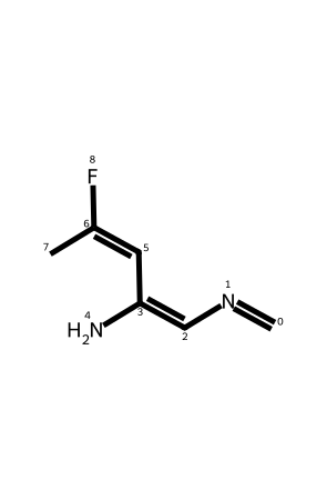 C=N/C=C(N)\C=C(/C)F